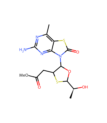 COC(=O)CC1SC([C@H](C)O)OC1n1c(=O)sc2c(C)nc(N)nc21